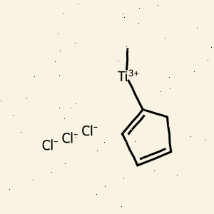 [CH3][Ti+3][C]1=CC=CC1.[Cl-].[Cl-].[Cl-]